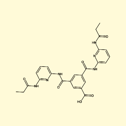 CCC(=O)Nc1cccc(NC(=O)c2cc(C(=O)O)cc(C(=O)Nc3cccc(NC(=O)CC)n3)c2)n1